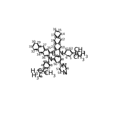 CC(C)(C)c1ccc(N2c3cc4cc5ccccc5cc4cc3B3c4cc5cc6ccccc6cc5cc4N(c4ccc(C(C)(C)C)cc4)c4cc(-c5ccncn5)cc2c43)cc1